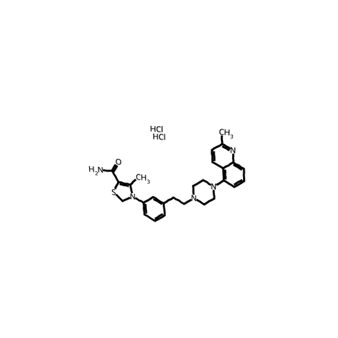 CC1=C(C(N)=O)SCN1c1cccc(CCN2CCN(c3cccc4nc(C)ccc34)CC2)c1.Cl.Cl